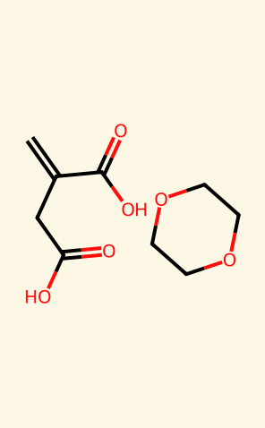 C1COCCO1.C=C(CC(=O)O)C(=O)O